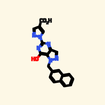 O=C(O)c1cnn(-c2nc(O)c3c(cnn3Cc3ccc4ccccc4c3)n2)c1